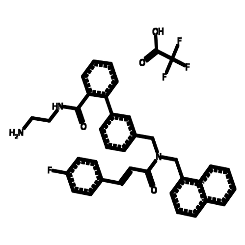 NCCNC(=O)c1ccccc1-c1cccc(CN(Cc2cccc3ccccc23)C(=O)C=Cc2ccc(F)cc2)c1.O=C(O)C(F)(F)F